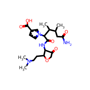 CC(CC(N)=O)C(C)C(C(=O)NC1C(=O)COC1CCN(C)C)n1ccc(C(=O)O)c1